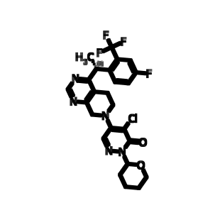 C[C@H](c1ccc(F)cc1C(F)(F)F)c1ncnc2c1CCN(c1cnn(C3CCCCO3)c(=O)c1Cl)C2